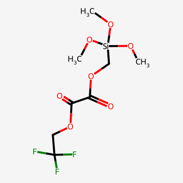 CO[Si](COC(=O)C(=O)OCC(F)(F)F)(OC)OC